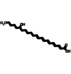 CCCCCC(O)CCCCCC=CC=CC=CC=CC=CC(=O)O